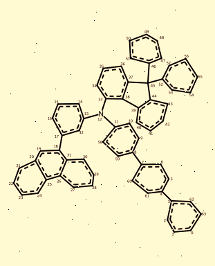 c1ccc(-c2ccc(-c3ccc(N(c4cccc(-c5cc6ccccc6c6ccccc56)c4)c4cccc5c4-c4ccccc4C5(c4ccccc4)c4ccccc4)cc3)cc2)cc1